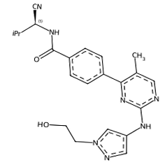 Cc1cnc(Nc2cnn(CCO)c2)nc1-c1ccc(C(=O)N[C@H](C#N)C(C)C)cc1